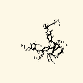 C=CC(=O)N1Cc2ccc(-c3c(-c4ccc(Oc5cccc(C)n5)c(OC)c4)c4c(N)ncnc4n3C)cc2C1